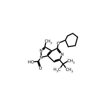 Cc1nn(C(=O)O)c2cc(C(C)(C)C)nc(OC3CCCCC3)c12